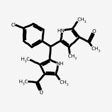 CC(=O)c1c(C)[nH]c(C(c2ccc(Cl)cc2)c2[nH]c(C)c(C(C)=O)c2C)c1C